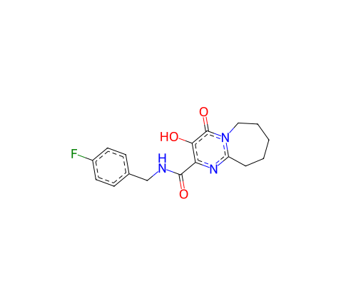 O=C(NCc1ccc(F)cc1)c1nc2n(c(=O)c1O)CCCCC2